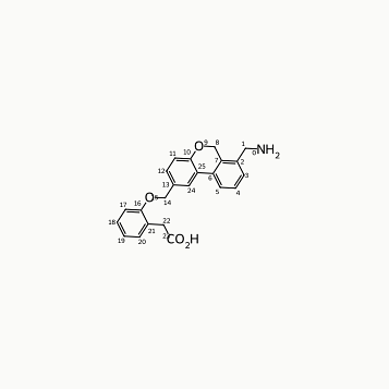 NCc1cccc2c1COc1ccc(COc3ccccc3CC(=O)O)cc1-2